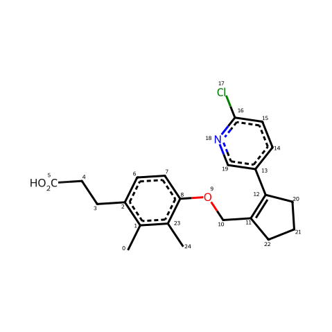 Cc1c(CCC(=O)O)ccc(OCC2=C(c3ccc(Cl)nc3)CCC2)c1C